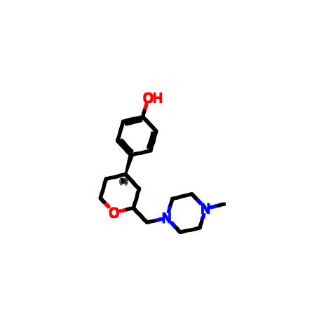 CN1CCN(CC2C[C@H](c3ccc(O)cc3)CCO2)CC1